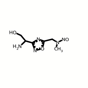 CN(Cc1nc(C(N)CO)no1)N=O